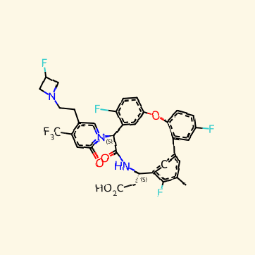 Cc1cc2cc(c1F)[C@H](CC(=O)O)NC(=O)[C@@H](n1cc(CCN3CC(F)C3)c(C(F)(F)F)cc1=O)c1cc(ccc1F)Oc1ccc(F)cc1-2